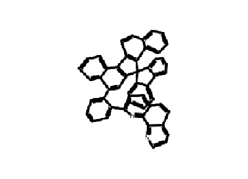 c1ccc(-c2cc3c(c4ccccc24)-c2ccc4ccccc4c2C32c3ccccc3-c3ccccc32)c(-c2ccc3ccc4cccnc4c3n2)c1